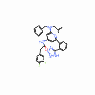 CC(C)CN(Cc1ccccc1)c1cc(NC(=O)Cc2ccc(F)c(F)c2)cc(-c2ccccc2-c2nnn[nH]2)n1